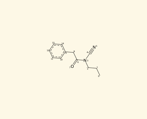 CC[CH]N(C#N)C(=O)Cc1ccccc1